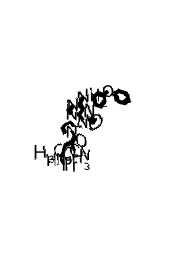 CC(C)NC(C)(C)C=C(C#N)C(=O)N1CCC[C@H]1Cn1c(=O)n(-c2ccc(Oc3ccccc3)cc2)c2c(N)ncnc21